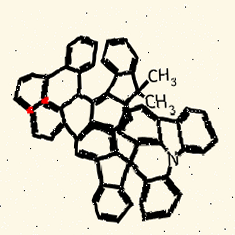 CC1(C)c2ccccc2-c2c(C(c3ccccc3-c3ccccc3)c3ccccc3-c3ccc4c(c3)-c3ccccc3C43c4ccccc4-n4c5ccccc5c5cccc3c54)cccc21